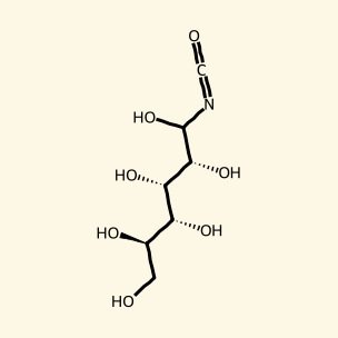 O=C=NC(O)[C@H](O)[C@@H](O)[C@H](O)[C@H](O)CO